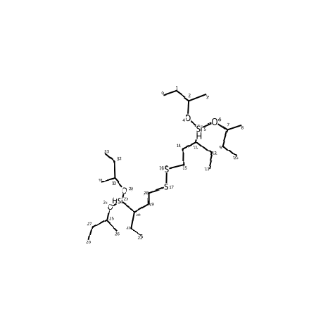 CCC(C)O[SiH](OC(C)CC)C(CC)CCSSCCC(CC)[SiH](OC(C)CC)OC(C)CC